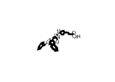 O=C(O)CCc1ccc(NC2=NC(=O)C(=Cc3cc4ccccc4cc3OCc3ccccc3)S2)cc1